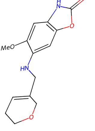 COc1cc2[nH]c(=O)oc2cc1NCC1=CCCOC1